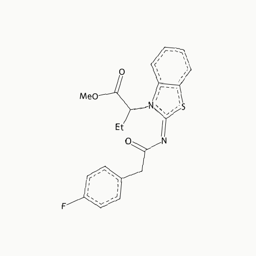 CCC(C(=O)OC)n1/c(=N\C(=O)Cc2ccc(F)cc2)sc2ccccc21